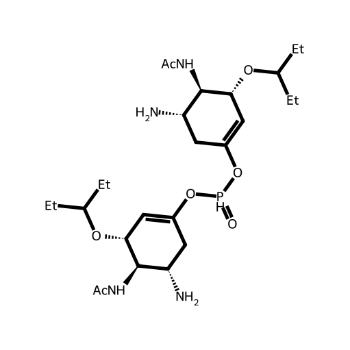 CCC(CC)O[C@@H]1C=C(O[PH](=O)OC2=C[C@@H](OC(CC)CC)[C@H](NC(C)=O)[C@@H](N)C2)C[C@H](N)[C@H]1NC(C)=O